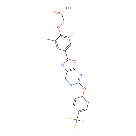 Cc1cc(-c2nc3cnc(Oc4ccc(C(F)(F)F)cc4)nc3o2)cc(C)c1OCC(=O)O